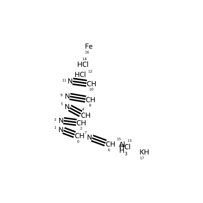 C#N.C#N.C#N.C#N.C#N.C#N.Cl.Cl.Cl.[AlH3].[Fe].[KH]